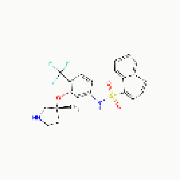 C[C@@]1(Oc2cc(NS(=O)(=O)c3cccc4ccccc34)ccc2C(F)(F)F)CCNC1